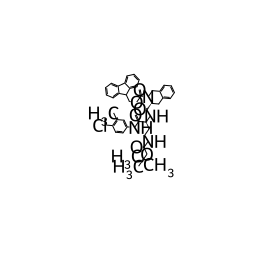 Cc1cc(NC(=O)[C@H](CCNC(=O)OC(C)(C)C)NC(=O)[C@@H]2Cc3ccccc3CN2C(=O)OCC2c3ccccc3-c3ccccc32)ccc1Cl